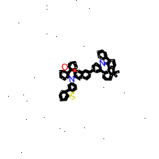 CC1(C)c2cccc3c2-c2c1ccc1c4ccccc4n(c21)-c1ccc(-c2ccc4cc(N(c5ccc6sc7ccccc7c6c5)c5cccc6oc7ccccc7c56)ccc4c2)cc1-3